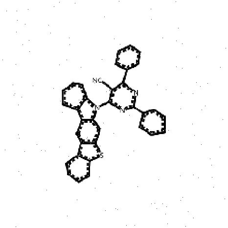 N#Cc1c(-c2ccccc2)nc(-c2ccccc2)nc1-n1c2ccccc2c2cc3c(cc21)sc1ccccc13